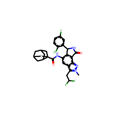 Cn1nc2c3c(c(NC(=O)C45CC6CC(CC4C6)C5)cc2c1CC(F)F)C(c1cc(F)ccc1Cl)NC3=O